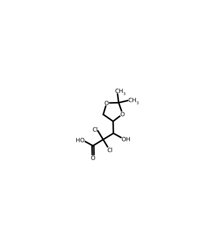 CC1(C)OCC(C(O)C(Cl)(Cl)C(=O)O)O1